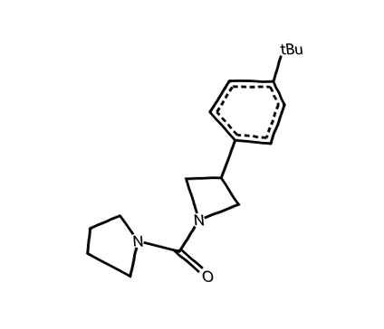 CC(C)(C)c1ccc(C2CN(C(=O)N3CCCC3)C2)cc1